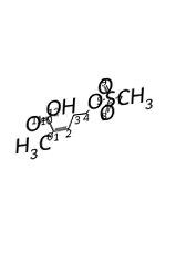 CC(=CCCOS(C)(=O)=O)C(=O)O